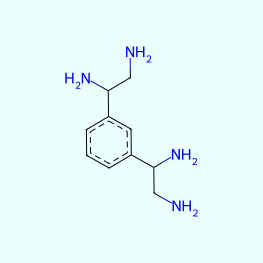 NCC(N)c1cccc(C(N)CN)c1